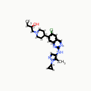 Cc1c(Nc2ncc3cc(Cl)c(C4CCN(CC(O)CC(F)(F)F)CC4)cc3n2)cnn1C1CC1